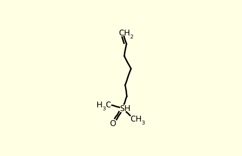 C=CCCCC[SH](C)(C)=O